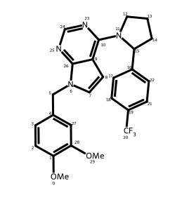 COc1ccc(Cn2ccc3c(N4CCCC4c4ccc(C(F)(F)F)cc4)ncnc32)cc1OC